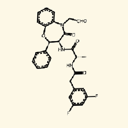 C[C@H](NC(=O)Cc1cc(F)cc(F)c1)C(=O)N[C@@H]1C(=O)N(CC=O)c2ccccc2O[C@@H]1c1ccccc1